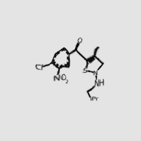 CC1=C(C(=O)c2ccc(Cl)c([N+](=O)[O-])c2)SN(NCC(C)C)C1